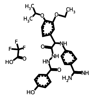 CCOc1cc(C(Nc2ccc(C(=N)N)cc2)C(=O)NNC(=O)c2ccc(O)cc2)ccc1OC(C)C.O=C(O)C(F)(F)F